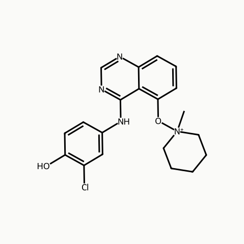 C[N+]1(Oc2cccc3ncnc(Nc4ccc(O)c(Cl)c4)c23)CCCCC1